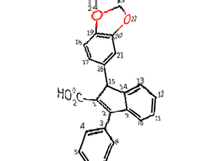 O=C(O)C1=C(c2ccccc2)c2ccccc2C1c1ccc2c(c1)OCO2